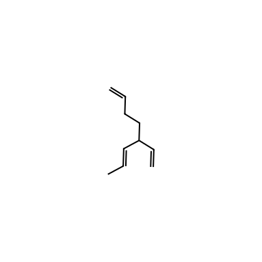 C=CCCC(C=C)C=CC